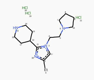 CCc1cn(CCN2CCCC2)c(C2CCNCC2)n1.Cl.Cl.Cl